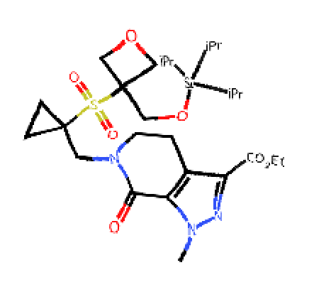 CCOC(=O)c1nn(C)c2c1CCN(CC1(S(=O)(=O)C3(CO[Si](C(C)C)(C(C)C)C(C)C)COC3)CC1)C2=O